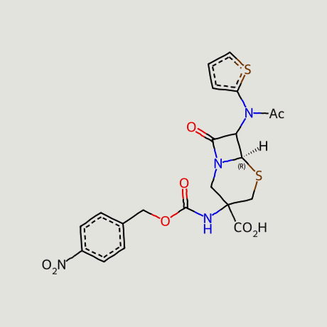 CC(=O)N(c1cccs1)C1C(=O)N2CC(NC(=O)OCc3ccc([N+](=O)[O-])cc3)(C(=O)O)CS[C@H]12